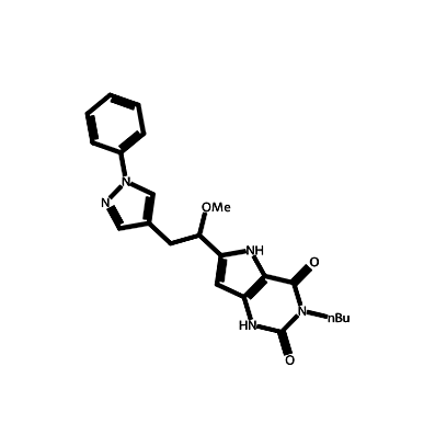 CCCCn1c(=O)[nH]c2cc(C(Cc3cnn(-c4ccccc4)c3)OC)[nH]c2c1=O